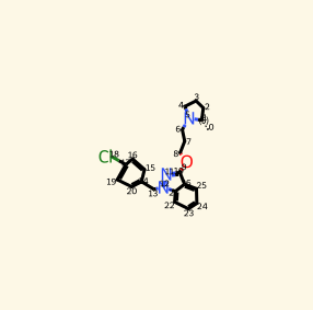 C[C@H]1CCCN1CCCOc1nn(Cc2ccc(Cl)cc2)c2ccccc12